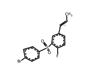 C/C=C/c1ccc(F)c(S(=O)(=O)c2ccc(Br)cc2)c1